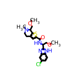 COCC(NC(=O)c1cc2c(s1)C(COC)N(C)CC2)c1nc2cc(Cl)ccc2[nH]1